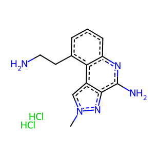 Cl.Cl.Cn1cc2c(n1)c(N)nc1cccc(CCN)c12